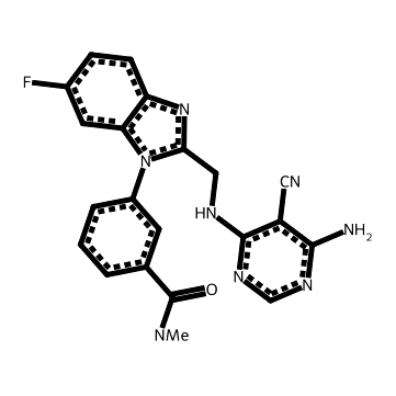 CNC(=O)c1cccc(-n2c(CNc3ncnc(N)c3C#N)nc3ccc(F)cc32)c1